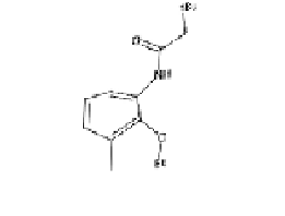 CCOc1c(C)cccc1NC(=O)CC(C)(C)C